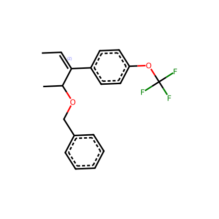 C/C=C(/c1ccc(OC(F)(F)F)cc1)C(C)OCc1ccccc1